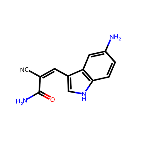 N#CC(=Cc1c[nH]c2ccc(N)cc12)C(N)=O